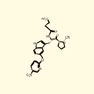 N#C[C@@H]1CCCN1C(=O)[C@H](Cc1c[nH]c2ccc(Oc3ccc([N+](=O)[O-])cn3)cc12)NC(=O)CCC(=O)O